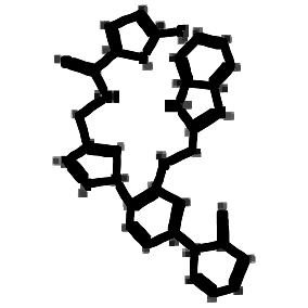 O=C(NCc1cn(-c2ccc(-n3ccccc3=O)cc2OCc2nc3ccccc3[nH]2)nn1)c1ccc(Cl)s1